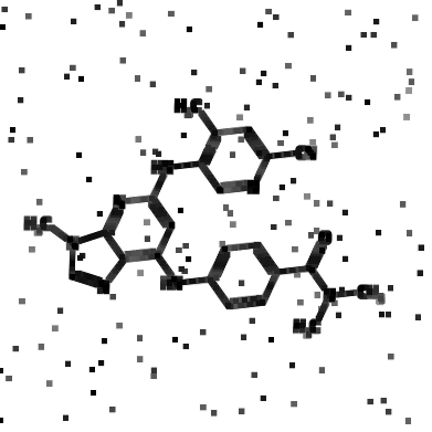 Cc1cc(C#N)ncc1Nc1cc(Nc2ccc(C(=O)N(C)C)cc2)c2ncn(C)c2n1